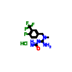 CN(Cc1ccc(F)c(C(F)(F)F)c1)C(N)=NC(N)=O.Cl